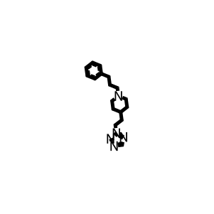 c1ccc(CCCN2CCC(CCn3ncnn3)CC2)cc1